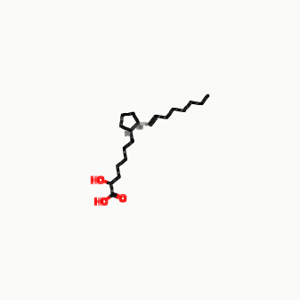 CCCCCCC=C[C@H]1CCC[C@@H]1CCCCCC(O)C(=O)O